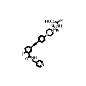 CC(C)C(NS(=O)(=O)N1CCN(c2ccc(C#Cc3ccc(F)c(C(=O)NCc4ccncc4)c3)cc2)CC1)C(=O)O